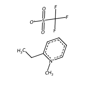 CCc1cccc[n+]1C.O=S(=O)([O-])C(F)(F)F